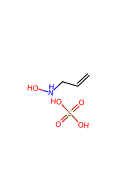 C=CCNO.O=S(=O)(O)O